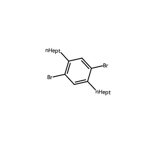 CCCCCCCc1cc(Br)c(CCCCCCC)cc1Br